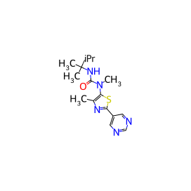 Cc1nc(-c2cncnc2)sc1N(C)C(=O)NC(C)(C)C(C)C